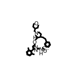 Cc1cccc(C)c1-c1cc2nc(n1)N[S+]([O-])c1cccc(c1)CCC1CCN(CC3CCOCC3)C[C@@H]1CO2